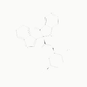 CC(C)[C@@H]1CC[C@@H](C)C[C@H]1OC(=O)[C@]1(c2c[nH]c3ccccc23)Nc2ccccc2C1=O